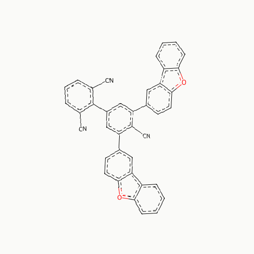 N#Cc1cccc(C#N)c1-c1cc(-c2ccc3oc4ccccc4c3c2)c(C#N)c(-c2ccc3oc4ccccc4c3c2)c1